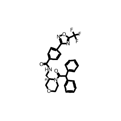 O=C(NC[C@@H]1COCCN1C(=O)C(c1ccccc1)c1ccccc1)c1ccc(-c2noc(C(F)(F)F)n2)cc1